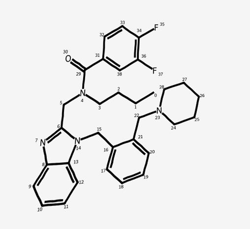 CCCCN(Cc1nc2ccccc2n1Cc1ccccc1CN1CCCCC1)C(=O)c1ccc(F)c(F)c1